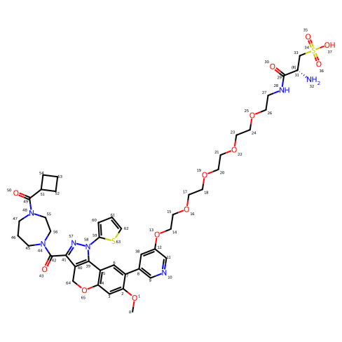 COc1cc2c(cc1-c1cncc(OCCOCCOCCOCCOCCNC(=O)[C@@H](N)CS(=O)(=O)O)c1)-c1c(c(C(=O)N3CCCN(C(=O)C4CCC4)CC3)nn1-c1cccs1)CO2